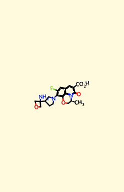 C[C@H]1COc2c(N3CCC(C4(N)COC4)C3)c(F)cc3cc(C(=O)O)c(=O)n1c23